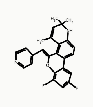 CC1=CC(C)(C)Nc2ccc3c(c21)C(=Cc1ccncc1)Oc1c(F)cc(F)cc1-3